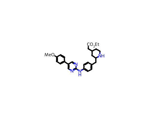 CCOC(=O)CC1CCNC(Cc2ccc(Nc3ncc(-c4ccc(OC)cc4)cn3)cc2)C1